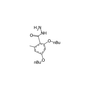 CCCCOc1cc(C)c(C(=O)NN)c(OCCCC)c1